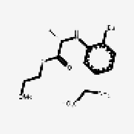 CCC(C)c1ccccc1N[C@@H](C)C(=O)OCCOC.NCC(=O)O